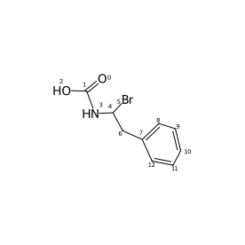 O=C(O)NC(Br)Cc1ccccc1